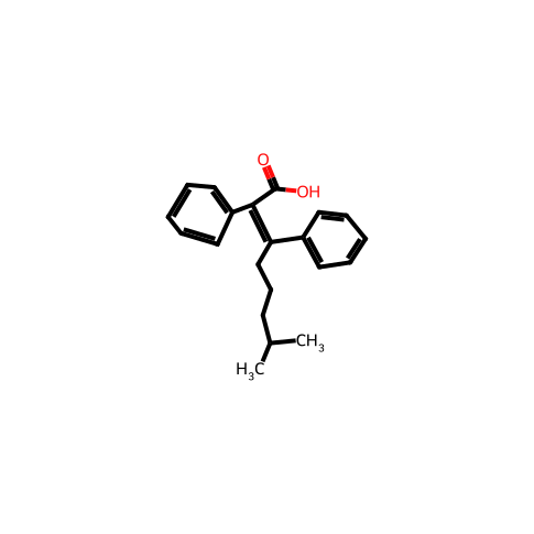 CC(C)CCC/C(=C(/C(=O)O)c1ccccc1)c1ccccc1